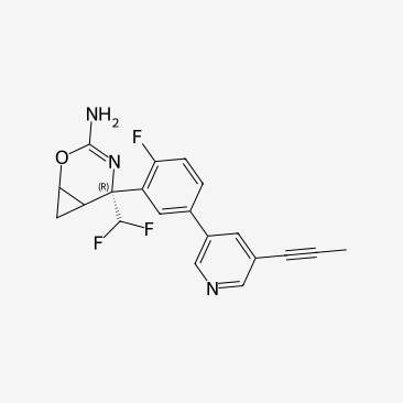 CC#Cc1cncc(-c2ccc(F)c([C@]3(C(F)F)N=C(N)OC4CC43)c2)c1